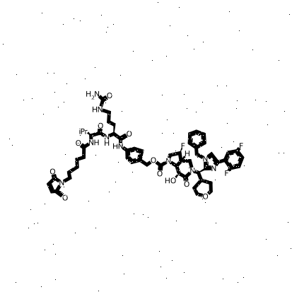 CC(C)[C@H](NC(=O)CCCCCN1C(=O)C=CC1=O)C(=O)N[C@@H](CCCNC(N)=O)C(=O)Nc1ccc(COC(=O)N2C[C@H](F)[C@@H]3CN([C@@H](c4nc(-c5cc(F)ccc5F)cn4Cc4ccccc4)C4CCOCC4)C(=O)[C@@H](O)C32)cc1